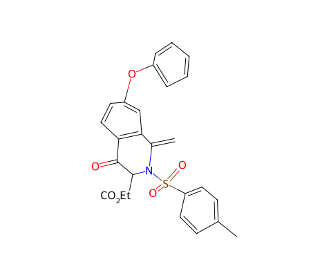 C=C1c2cc(Oc3ccccc3)ccc2C(=O)C(C(=O)OCC)N1S(=O)(=O)c1ccc(C)cc1